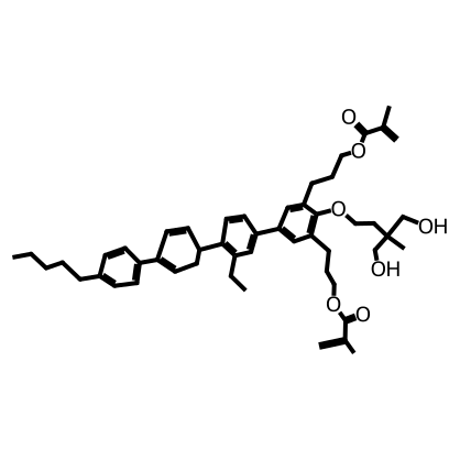 C=C(C)C(=O)OCCCc1cc(-c2ccc(C3C=CC(c4ccc(CCCCC)cc4)=CC3)c(CC)c2)cc(CCCOC(=O)C(=C)C)c1OCCC(C)(CO)CO